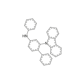 c1ccc(Nc2ccc(-c3ccccc3)c(-n3c4ccccc4c4ccccc43)c2)cc1